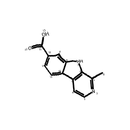 Cc1nccc2c1[nH]c1cc(C(=O)O)ccc12